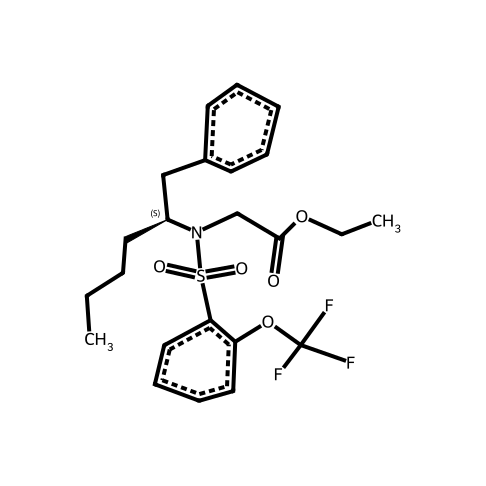 CCCC[C@@H](Cc1ccccc1)N(CC(=O)OCC)S(=O)(=O)c1ccccc1OC(F)(F)F